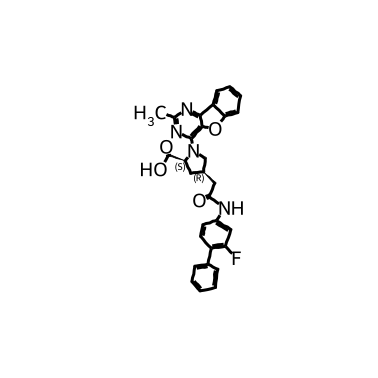 Cc1nc(N2C[C@@H](CC(=O)Nc3ccc(-c4ccccc4)c(F)c3)C[C@H]2C(=O)O)c2oc3ccccc3c2n1